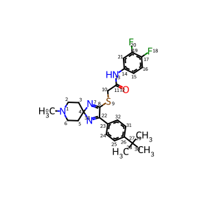 CN1CCC2(CC1)N=C(SCC(=O)Nc1ccc(F)c(F)c1)C(c1ccc(C(C)(C)C)cc1)=N2